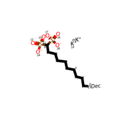 CCCCCCCCCCCCCCCCCCCC(S(=O)(=O)[O-])S(=O)(=O)[O-].[K+].[K+]